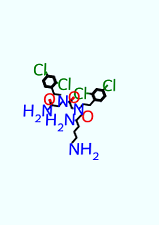 NCCCCC(N)C(=O)N(CCc1ccc(Cl)cc1Cl)CC(=O)N(CCc1ccc(Cl)cc1Cl)CC(N)=O